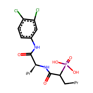 CC(C)CC(C(=O)N[C@H](C(=O)Nc1ccc(Cl)c(Cl)c1)C(C)C)P(=O)(O)O